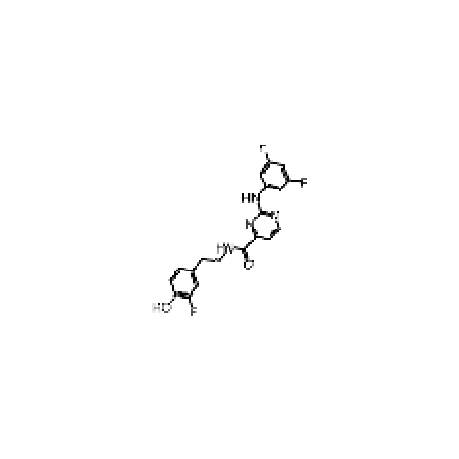 O=C(NCCc1ccc(O)c(F)c1)c1ccnc(Nc2cc(F)cc(F)c2)n1